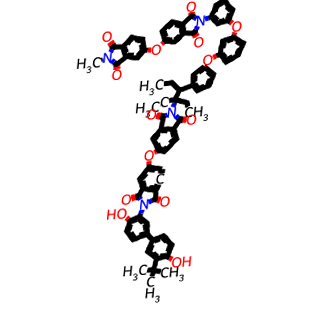 CCC(c1cccc(Oc2cccc(Oc3cccc(N4C(=O)c5ccc(Oc6ccc7c(c6)C(=O)N(C)C7=O)cc5C4=O)c3)c2)c1)C(CC)(CC)N1C(=O)c2ccc(Oc3ccc4c(c3)C(=O)N(c3cc(-c5ccc(O)c(C(C)(C)C)c5)ccc3O)C4=O)cc2C1=O